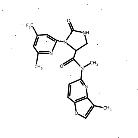 Cc1cc(C(F)(F)F)cc(N2C(=O)NCC2C(=O)N(C)c2ccc3occ(C)c3n2)n1